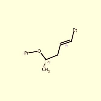 CC/C=C/C[C@H](C)OC(C)C